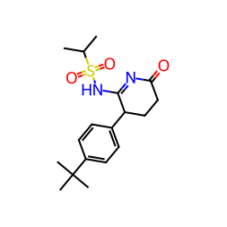 CC(C)S(=O)(=O)NC1=NC(=O)CCC1c1ccc(C(C)(C)C)cc1